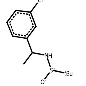 CC(N[S+]([O-])C(C)(C)C)c1cccc(Cl)c1